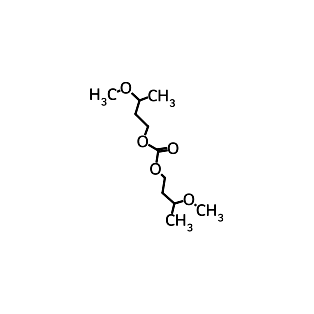 COC(C)CCOC(=O)OCCC(C)OC